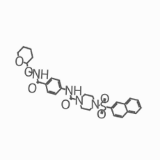 O=C(NOC1CCCCO1)c1ccc(NC(=O)N2CCN(S(=O)(=O)c3ccc4ccccc4c3)CC2)cc1